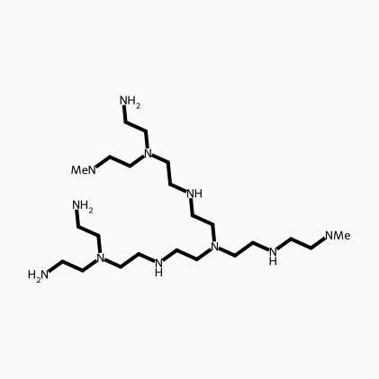 CNCCNCCN(CCNCCN(CCN)CCN)CCNCCN(CCN)CCNC